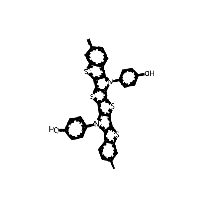 Cc1ccc2c(c1)sc1c3sc4c(sc5c6sc7cc(C)ccc7c6n(-c6ccc(O)cc6)c54)c3n(-c3ccc(O)cc3)c21